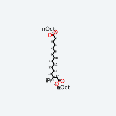 CCCCCCCCOC(=O)CCCCCCCCCCCCC(CC(=O)OCCCCCCCC)C(C)C